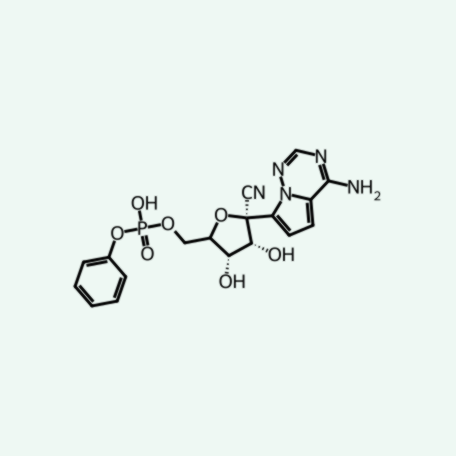 N#C[C@@]1(c2ccc3c(N)ncnn23)OC(COP(=O)(O)Oc2ccccc2)[C@@H](O)[C@H]1O